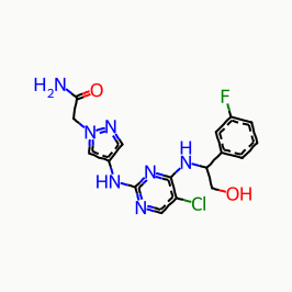 NC(=O)Cn1cc(Nc2ncc(Cl)c(NC(CO)c3cccc(F)c3)n2)cn1